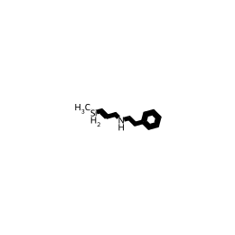 C[SiH2]C=CCNCCc1ccccc1